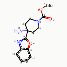 CC(C)(C)OC(=O)N1CCC(N)(c2nc3ccccc3o2)CC1